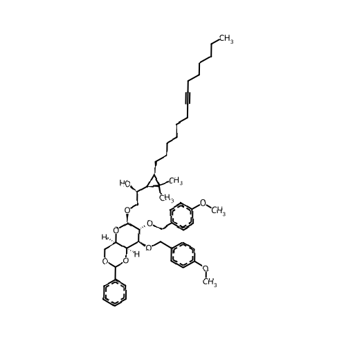 CCCCCCC#CCCCCCC[C@@H]1[C@H]([C@H](O)CO[C@@H]2O[C@@H]3COC(c4ccccc4)O[C@@H]3[C@H](OCc3ccc(OC)cc3)[C@H]2OCc2ccc(OC)cc2)C1(C)C